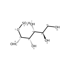 O=C[C@H](OS(=O)(=O)O)[C@@H](O)[C@H](O)[C@H](O)CO